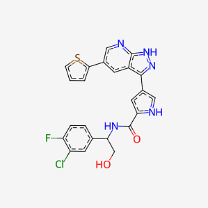 O=C(NC(CO)c1ccc(F)c(Cl)c1)c1cc(-c2n[nH]c3ncc(-c4cccs4)cc23)c[nH]1